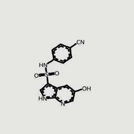 N#Cc1ccc(NS(=O)(=O)c2c[nH]c3ncc(O)cc23)cc1